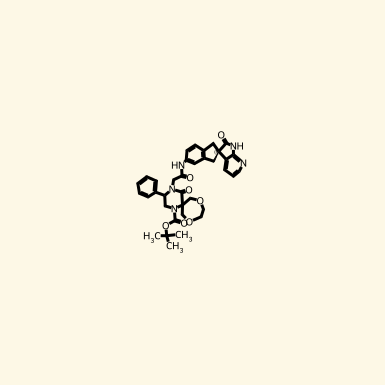 CC(C)(C)OC(=O)N1CC(c2ccccc2)N(CC(=O)Nc2ccc3c(c2)C[C@@]2(C3)C(=O)Nc3ncccc32)C(=O)C12COCCOC2